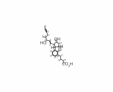 CC#CCC(C)[C@H](O)/C=C/[C@@H]1[C@H]2c3cccc(CCCC(=O)O)c3O[C@H]2C[C@H]1O